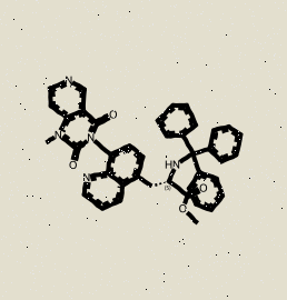 COC(=O)[C@H](Cc1ccc(-n2c(=O)c3cnccc3n(C)c2=O)c2ncccc12)NC(c1ccccc1)(c1ccccc1)c1ccccc1